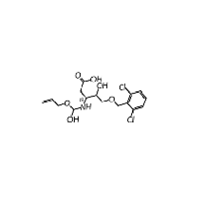 C=CCOC(O)N[C@@H](CC(=O)O)C(O)COCc1c(Cl)cccc1Cl